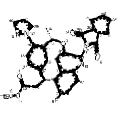 C[C@H](Oc1cc2cc(F)ccc2nc1N1C(=O)c2ccccc2C1=O)c1cc(CCC(=O)OC(C)(C)C)ccc1-n1cccn1